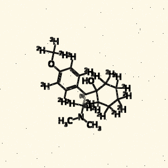 [2H]c1c([2H])c([C@@H](C([2H])([2H])N(C)C)C2(O)C([2H])([2H])C([2H])([2H])C([2H])([2H])C([2H])([2H])C2([2H])[2H])c([2H])c([2H])c1OC([2H])([2H])[2H]